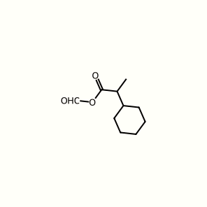 CC(C(=O)OC=O)C1CCCCC1